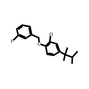 CC(C)C(C)(C)c1ccc(OCc2cccc(F)c2)c(Cl)c1